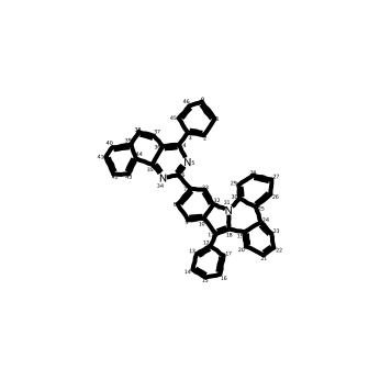 c1ccc(-c2nc(-c3ccc4c(-c5ccccc5)c5c6ccccc6c6ccccc6n5c4c3)nc3c2ccc2ccccc23)cc1